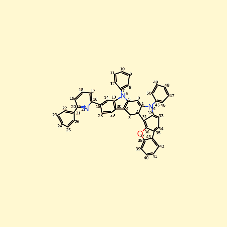 C1=C2C(Cc3c1n(-c1ccccc1)c1cc(-c4cccc(-c5ccccc5)n4)ccc31)c1c(ccc3c1oc1ccccc13)N2c1ccccc1